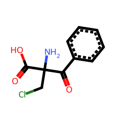 NC(CCl)(C(=O)O)C(=O)c1ccccc1